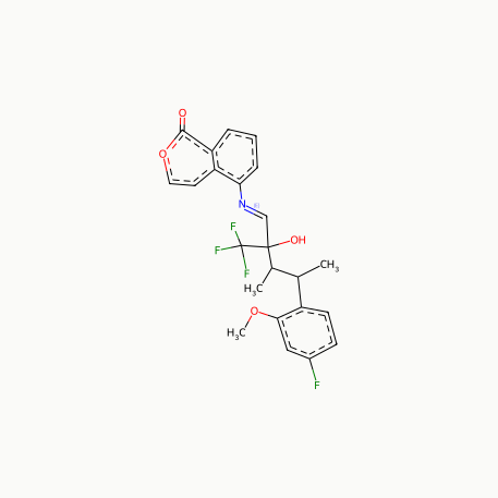 COc1cc(F)ccc1C(C)C(C)C(O)(/C=N/c1cccc2c(=O)occc12)C(F)(F)F